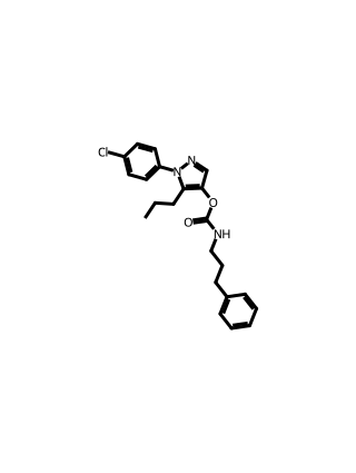 CCCc1c(OC(=O)NCCCc2ccccc2)cnn1-c1ccc(Cl)cc1